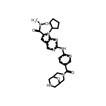 CN(C)C(=O)c1cc2cnc(Nc3ccc(C(=O)N4CC5CNCC(C4)O5)cn3)nc2n1C1CCCC1